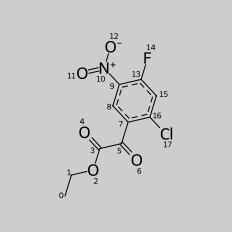 CCOC(=O)C(=O)c1cc([N+](=O)[O-])c(F)cc1Cl